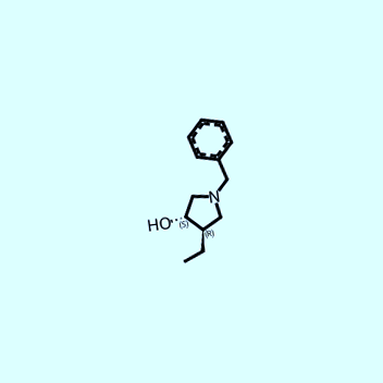 CC[C@@H]1CN(Cc2ccccc2)C[C@H]1O